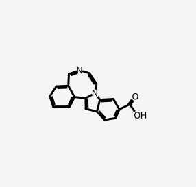 O=C(O)c1ccc2cc3n(c2c1)/C=C\N=C/c1ccccc1-3